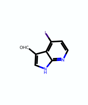 O=Cc1c[nH]c2nccc(I)c12